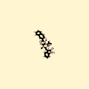 CC(C)C[C@@H](C(=O)N(C)[C@H](C#N)C[C@@]1(C)C(=O)Nc2ccccc21)N(C)C(=O)c1ccc2ccccc2c1